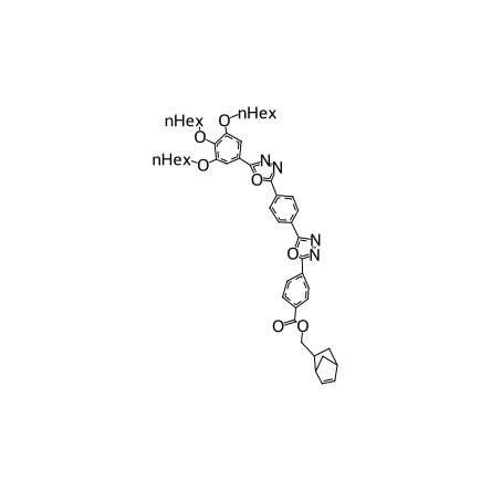 CCCCCCOc1cc(-c2nnc(-c3ccc(-c4nnc(-c5ccc(C(=O)OCC6CC7C=CC6C7)cc5)o4)cc3)o2)cc(OCCCCCC)c1OCCCCCC